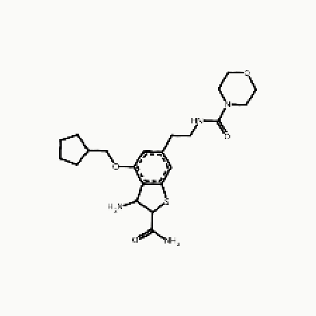 NC(=O)C1Sc2cc(CCNC(=O)N3CCOCC3)cc(OCC3CCCC3)c2C1N